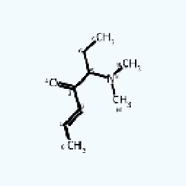 CC=CC(=O)C(CC)N(C)C